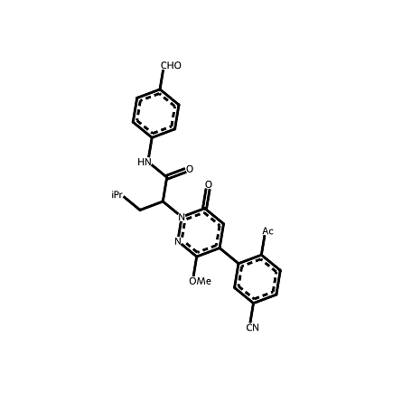 COc1nn(C(CC(C)C)C(=O)Nc2ccc(C=O)cc2)c(=O)cc1-c1cc(C#N)ccc1C(C)=O